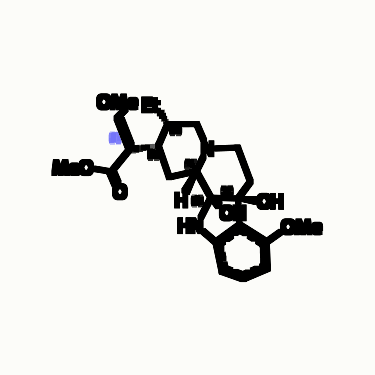 CC[C@@H]1CN2CC[C@]3(O)c4c(cccc4OC)N[C@]3(O)[C@@H]2C[C@@H]1/C(=C\OC)C(=O)OC